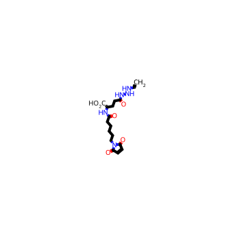 C=CNNNC(=O)CCC(NC(=O)CCCCCN1C(=O)C=CC1=O)C(=O)O